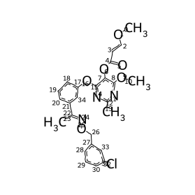 COC=CC(=O)Oc1c(OC)nc(C)nc1Oc1cccc(C(C)=NOCc2cccc(Cl)c2)c1